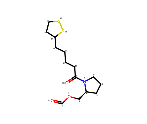 O=COC[C@@H]1CCCN1C(=O)CCCCC1CCSS1